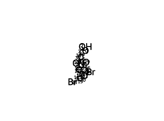 O=C(O)Cc1ccc(-n2c(=O)c3ccc4c5cc(Br)ccc5oc5c(Br)cc(c2=O)c3c54)cc1